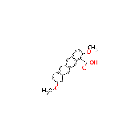 COc1ccc2cc3cc4ccc(OC)c(C(=O)O)c4cc3cc2c1